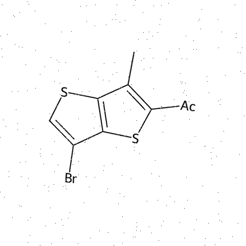 CC(=O)c1sc2c(Br)csc2c1C